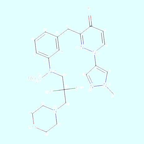 Cn1cc(-n2ccc(=O)c(Cc3cccc(N(CC(F)(F)CN4CCOCC4)C(=O)O)c3)n2)cn1